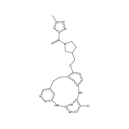 Cc1cc(C(=O)N2CCC(COc3ccc4cc3CCc3cncc(c3)Nc3ncc(Cl)c(n3)N4)C2)no1